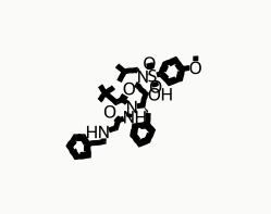 COc1ccc(S(=O)(=O)N(CC(C)C)C[C@@H](O)[C@H](Cc2ccccc2)N(NC(=O)CNCc2ccccc2)C(=O)CC(C)(C)C)cc1